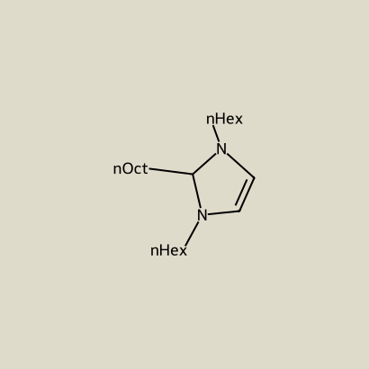 CCCCCCCCC1N(CCCCCC)C=CN1CCCCCC